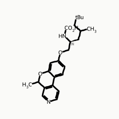 CC(C[C@@H](COc1ccc2c(c1)OC(C)c1cnccc1-2)NC(=O)O)CC(C)(C)C